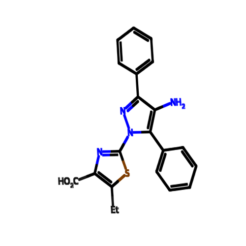 CCc1sc(-n2nc(-c3ccccc3)c(N)c2-c2ccccc2)nc1C(=O)O